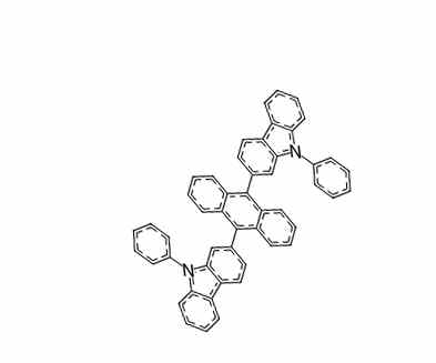 c1ccc(-n2c3ccccc3c3ccc(-c4c5ccccc5c(-c5ccc6c7ccccc7n(-c7ccccc7)c6c5)c5ccccc45)cc32)cc1